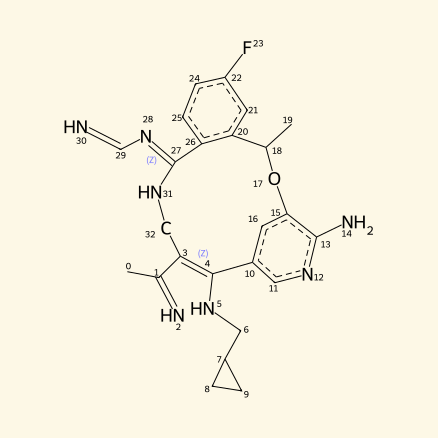 CC(=N)/C1=C(\NCC2CC2)c2cnc(N)c(c2)OC(C)c2cc(F)ccc2/C(=N/C=N)NC1